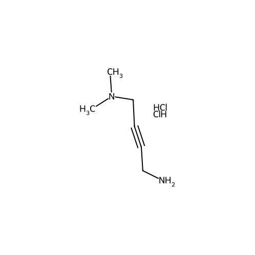 CN(C)CC#CCN.Cl.Cl